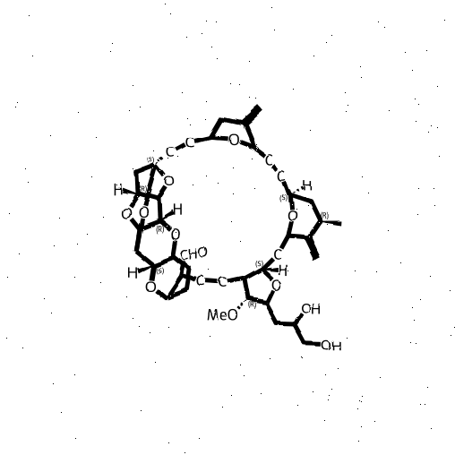 C=C1CC2CC[C@@]34C[C@H]5OC6C(O3)[C@H]3OC(CCC3O[C@H]6C5O4)C(C=O)CCC3[C@@H](OC)C(CC(O)CO)O[C@H]3CC3O[C@@H](CCC1O2)C[C@@H](C)C3=C